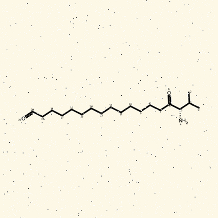 CC(C)[C@H](N)C(=O)CCCCCCCCCCCCC[C]=O